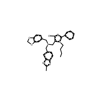 CCCCn1c(-c2ccccc2)nc(Cl)c1CN(Cc1ccc2c(c1)OCO2)Cc1ccc2sc(C)nc2c1